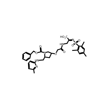 Cc1cc(C)c(S(=O)(=O)N=C(CNC(=O)COC2CC(CNc3cccc(C)n3)N(C(=O)OCc3ccccc3)C2)C(=O)O)c(C)c1